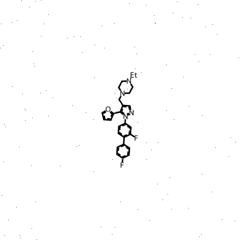 CCN1CCN(Cc2cnn(-c3ccc(-c4ccc(F)cc4)c(F)c3)c2-c2ccco2)CC1